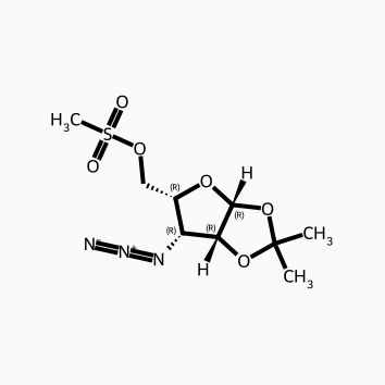 CC1(C)O[C@H]2O[C@@H](COS(C)(=O)=O)[C@@H](N=[N+]=[N-])[C@H]2O1